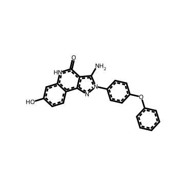 Nc1c2c(=O)[nH]c3cc(O)ccc3c2nn1-c1ccc(Oc2ccccc2)cc1